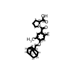 Cc1cc(C(=O)N2CCCC2C(=O)O)c(F)cc1OCC12CC3CC(CC(C3)C1)C2